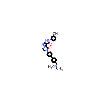 CN(C)Cc1ccc(-c2ccc(N3CCn4ncc(C(=O)Nc5cccc(C#N)c5)c4C3=O)cc2)cc1